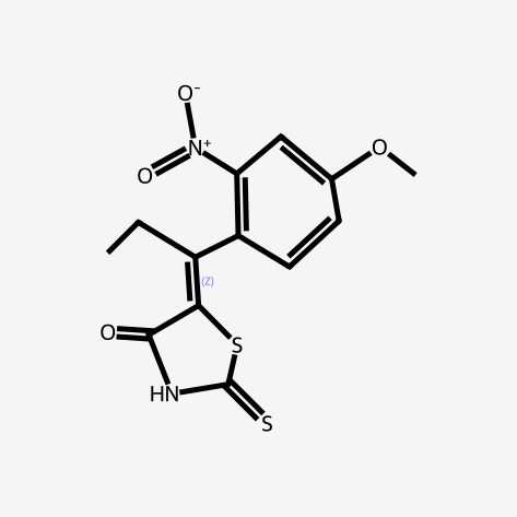 CC/C(=C1/SC(=S)NC1=O)c1ccc(OC)cc1[N+](=O)[O-]